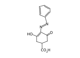 O=C1CC(C(=O)O)CC(O)=C1N=Nc1ccccc1